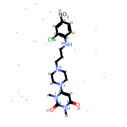 Cn1c(N2CCN(CCCNc3ccc([N+](=O)[O-])cc3Cl)CC2)cc(=O)n(C)c1=O